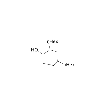 CCCCCCC1CCC(O)C(CCCCCC)C1